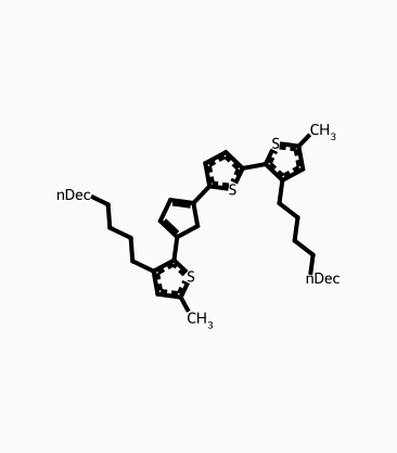 CCCCCCCCCCCCCCc1cc(C)sc1C1=CC=C(c2ccc(-c3sc(C)cc3CCCCCCCCCCCCCC)s2)C1